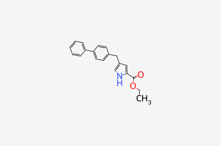 CCOC(=O)c1cc(Cc2ccc(-c3ccccc3)cc2)c[nH]1